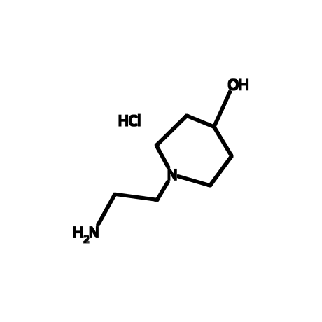 Cl.NCCN1CCC(O)CC1